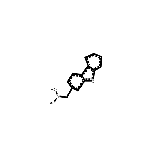 CC(=O)N(O)Cc1ccc2c(c1)sc1ccccc12